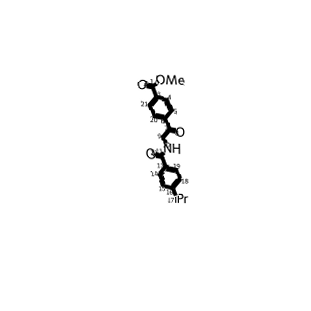 COC(=O)c1ccc(C(=O)CNC(=O)c2ccc(C(C)C)cc2)cc1